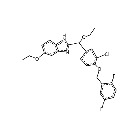 CCOc1ccc2[nH]c(C(OCC)c3ccc(OCc4cc(F)ccc4F)c(Cl)c3)nc2c1